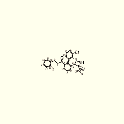 CCc1cc(-c2c(C(=O)CCc3ccccc3C)cccc2C2CNC2S(C)(=O)=O)ccn1